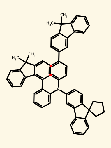 CC1(C)c2ccccc2-c2cc(-c3ccc(N(c4ccc5c(c4)-c4ccccc4C54CCCC4)c4ccccc4-c4cccc5c4-c4ccccc4C5(C)C)cc3)ccc21